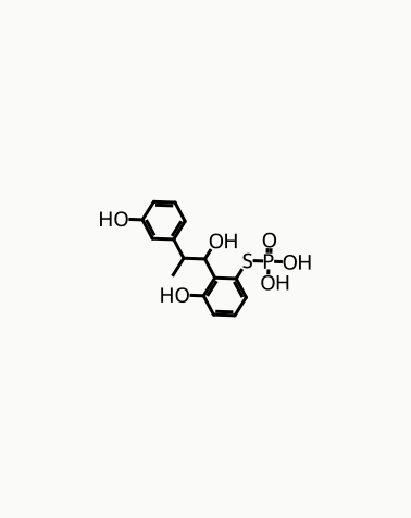 CC(c1cccc(O)c1)C(O)c1c(O)cccc1SP(=O)(O)O